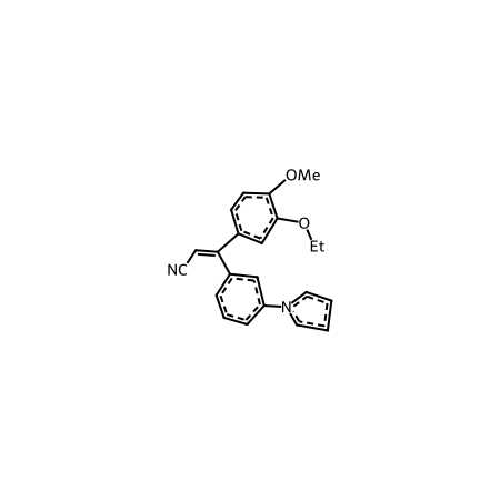 CCOc1cc(/C(=C/C#N)c2cccc(-n3cccc3)c2)ccc1OC